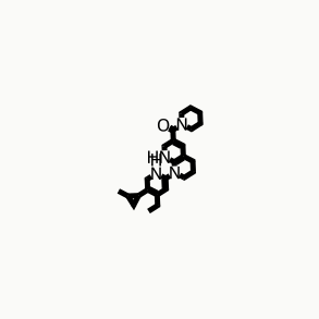 CCC1=C(C2CC2C)CNC(N2CCCC3=C2NCC(C(=O)N2CCCCC2)=C3)=C1